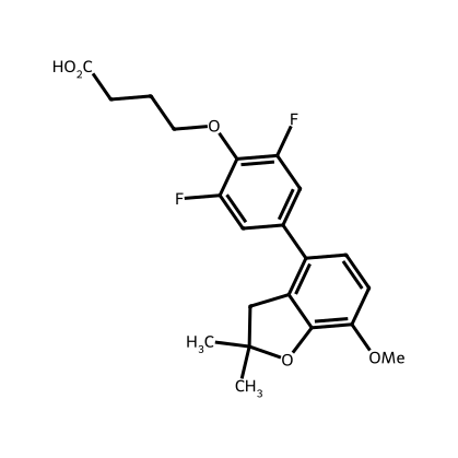 COc1ccc(-c2cc(F)c(OCCCC(=O)O)c(F)c2)c2c1OC(C)(C)C2